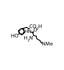 CNCCCC[C@H](N)C(=O)N[C@@H](Cc1ccc(O)cc1)C(=O)O